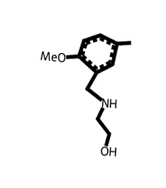 COc1ccc(C)cc1CNCCO